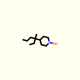 CCCC(C)(CC)C1CCN(O)CC1